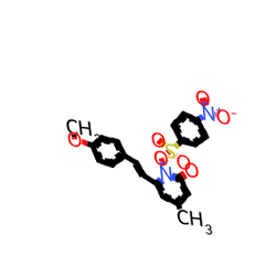 COc1ccc(/C=C/c2cc(C)cc(=O)n2OS(=O)(=O)c2ccc([N+](=O)[O-])cc2)cc1